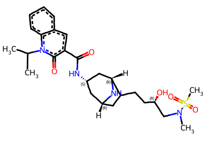 CC(C)n1c(=O)c(C(=O)N[C@H]2C[C@H]3CC(CC[C@@H](O)CN(C)S(C)(=O)=O)[C@@H](C2)N3)cc2ccccc21